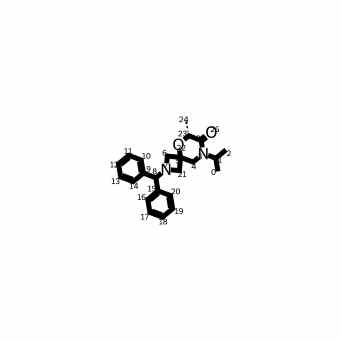 CC(C)N1CC2(CN(C(c3ccccc3)c3ccccc3)C2)O[C@H](C)C1=O